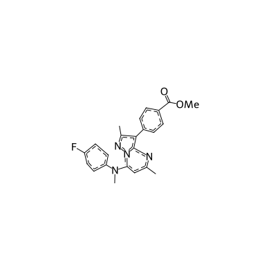 COC(=O)c1ccc(-c2c(C)nn3c(N(C)c4ccc(F)cc4)cc(C)nc23)cc1